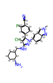 Cn1cc2cc(-n3nc(NCC4CCC[C@H](N)C4)c(Cl)c3-c3ccc(C#N)c(F)c3)ccc2n1